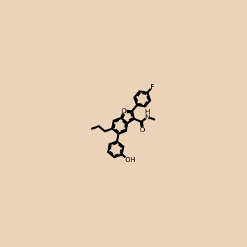 CCCc1cc2oc(-c3ccc(F)cc3)c(C(=O)NC)c2cc1-c1cccc(O)c1